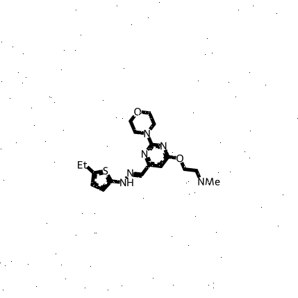 CCc1ccc(NN=Cc2cc(OCCNC)nc(N3CCOCC3)n2)s1